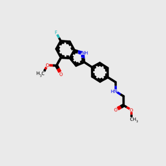 COC(=O)CNCc1ccc(-c2cc3c(C(=O)OC)cc(F)cc3[nH]2)cc1